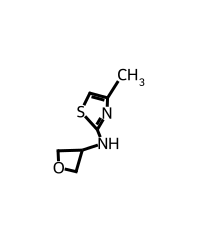 Cc1csc(NC2COC2)n1